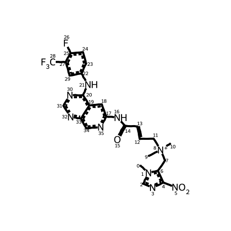 Cn1cnc([N+](=O)[O-])c1C[N+](C)(C)C/C=C/C(=O)Nc1cc2c(Nc3ccc(F)c(C(F)(F)F)c3)ncnc2cn1